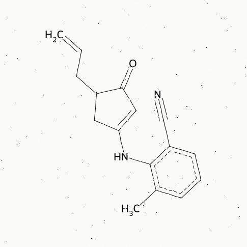 C=CCC1CC(Nc2c(C)cccc2C#N)=CC1=O